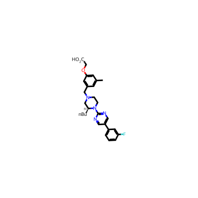 CCCC[C@H]1CN(Cc2cc(C)cc(OCC(=O)O)c2)CCN1c1ncc(-c2cccc(F)c2)cn1